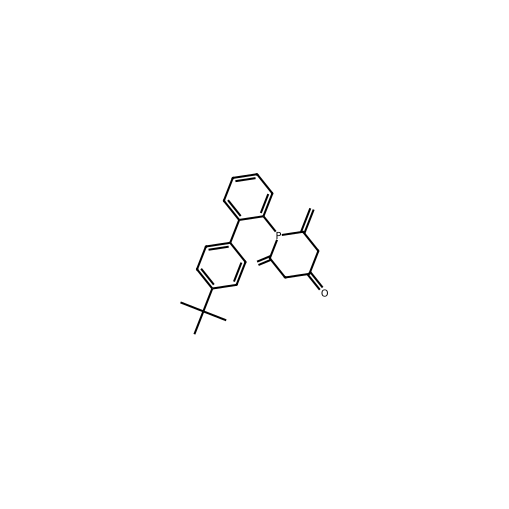 C=C1CC(=O)CC(=C)P1c1ccccc1-c1ccc(C(C)(C)C)cc1